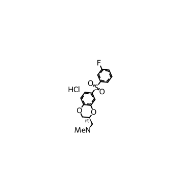 CNC[C@H]1COc2ccc(S(=O)(=O)c3cccc(F)c3)cc2O1.Cl